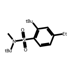 CCc1ccc(S(=O)(=O)N(C)C(C)(C)C)c(C(C)(C)C)c1